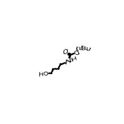 CCCCOC(=O)NCCCCO